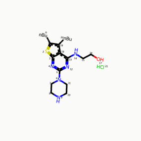 CCCCc1sc2nc(N3CCNCC3)nc(NCCO)c2c1CCCC.Cl